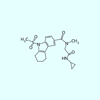 CN(CC(=O)NC1CC1)C(=O)c1ccc2c(c1)c1c(n2S(C)(=O)=O)CCCC1